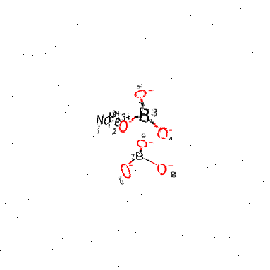 [Fe+3].[Nd+3].[O-]B([O-])[O-].[O-]B([O-])[O-]